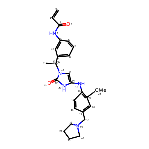 C=CC(=O)Nc1cccc([C@H](C)n2cc(Nc3ccc(CN4CCCC4)cc3OC)[nH]c2=O)c1